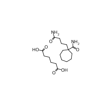 NC(=O)CCCC1(C(N)=O)CCCCCC1.O=C(O)CCCCC(=O)O